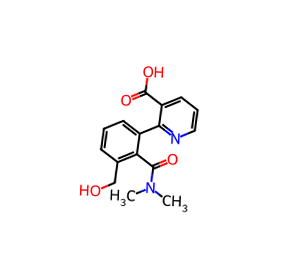 CN(C)C(=O)c1c(CO)cccc1-c1ncccc1C(=O)O